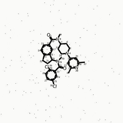 Cc1cc(N2CCC(N(C)C(=O)c3ccc4c(c3)C(N(C)C(=O)c3cc(Cl)ccc3Cl)CC4)CC2)cc(C)n1